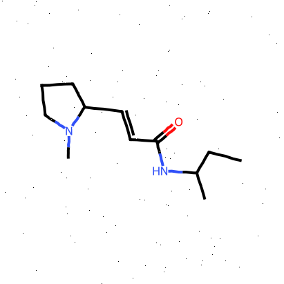 CCC(C)NC(=O)/C=C/C1CCCN1C